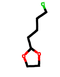 ClCCCCC1OCCO1